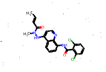 C/C=C/C(=O)N(C)Nc1ccnc2c(NC(=O)c3c(Cl)cccc3Cl)cccc12